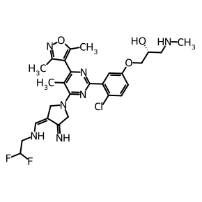 CNC[C@@H](O)COc1ccc(Cl)c(-c2nc(-c3c(C)noc3C)c(C)c(N3CC(=N)/C(=C\NCC(F)F)C3)n2)c1